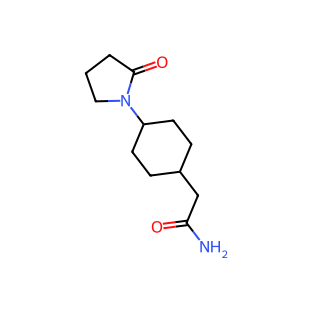 NC(=O)CC1CCC(N2CCCC2=O)CC1